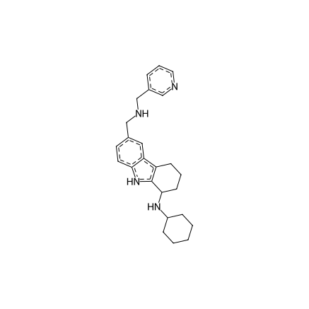 c1cncc(CNCc2ccc3[nH]c4c(c3c2)CCCC4NC2CCCCC2)c1